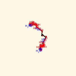 CC(C)(CCCCc1cccc(CCCCC2(C(=O)CCNC(=O)CCNC(=O)C(O)C(C)(C)COP(=O)(O)OP(=O)(O)OCC3OC(n4cnc5c(N)ncnc54)C(O)C3OP(=O)(O)O)CC2)c1)C(=O)CCNC(=O)CCNC(=O)C(O)C(C)(C)COP(=O)(O)OP(=O)(O)OCC1OC(n2cnc3c(N)ncnc32)C(O)C1OP(=O)(O)O